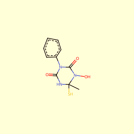 CC1(S)NC(=O)N(c2ccccc2)C(=O)N1O